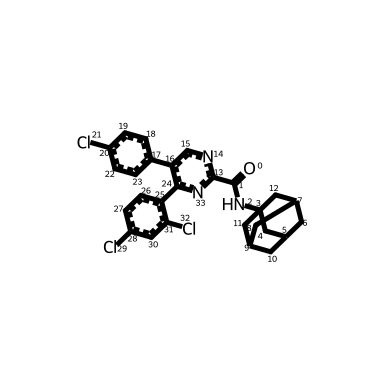 O=C(NC12CC3CC(CC(C3)C1)C2)c1ncc(-c2ccc(Cl)cc2)c(-c2ccc(Cl)cc2Cl)n1